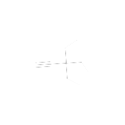 [C]#CC(CF)(CF)CF